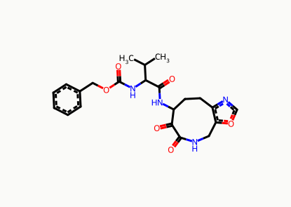 CC(C)C(NC(=O)OCc1ccccc1)C(=O)NC1CCc2ncoc2CNC(=O)C1=O